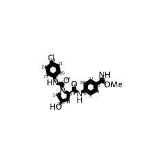 COC(=N)c1ccc(NC(=O)[C@H]2C[C@@H](O)CN2C(=O)Nc2ccc(Cl)cc2)cc1